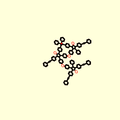 O=C1C(c2ccc(C#Cc3ccccc3)cc2)=C(c2ccccc2)C(c2ccc(Oc3ccc(C4=C(c5ccc(C#Cc6ccccc6)cc5)C(=O)C(c5ccc(C#Cc6ccccc6)cc5)=C4c4ccc(Oc5ccc(C6=C(c7ccc(C#Cc8ccccc8)cc7)C(=O)C(c7ccc(C#Cc8ccccc8)cc7)=C6c6ccccc6)cc5)cc4)cc3)cc2)=C1c1ccc(C#Cc2ccccc2)cc1